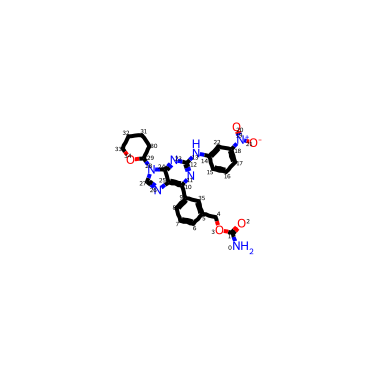 NC(=O)OCc1cccc(-c2nc(Nc3cccc([N+](=O)[O-])c3)nc3c2ncn3C2CCCCO2)c1